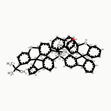 CC(C)(C)c1ccc2c(c1)C1(c3cc(C(C)(C)C)ccc3S2)c2ccccc2-c2ccc(N(c3ccc4c(c3)C3(c5ccccc5Oc5ccccc53)c3ccccc3-4)c3cccc4ccccc34)cc21